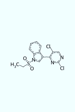 CCS(=O)(=O)n1cc(-c2nc(Cl)ncc2Cl)c2ccccc21